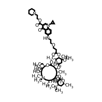 CC[C@H]1OC(=O)[C@H](C)[C@@H](OC2C[C@](C)(OC)[C@@H](OC(=O)CCOCCNc3ccc4c(c3)c(=O)c(C(=O)OCCN3CCCCC3)cn4C3CC3)[C@H](C)O2)[C@H](C)[C@@H](OC2O[C@H](C)C[C@H](N(C)C)[C@H]2O)[C@](C)(O)C[C@@H](C)CN(C)[C@H](C)[C@@H](O)[C@]1(C)O